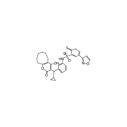 O=c1oc2c(c(O)c1C(c1cccc(NS(=O)(=O)C3=CC(c4ccon4)=CCC3=S)c1)C1CC1)CCCCCC2